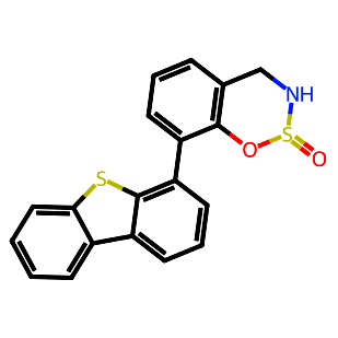 O=S1NCc2cccc(-c3cccc4c3sc3ccccc34)c2O1